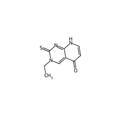 CCn1cc2c(=O)cc[nH]c2nc1=S